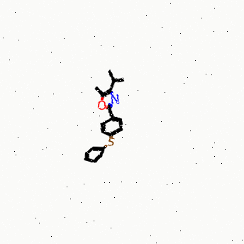 Cc1oc(-c2ccc(Sc3ccccc3)cc2)nc1C(C)C